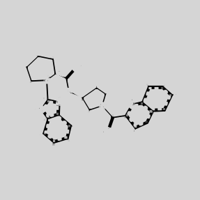 O=C(N[C@H]1CCN(C(=O)c2ccc3ccccc3n2)C1)[C@@H]1CCCCN1c1nc2ccccc2o1